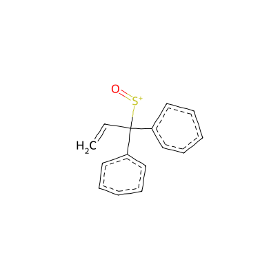 C=CC([S+]=O)(c1ccccc1)c1ccccc1